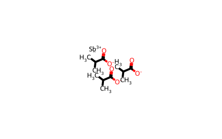 CC(C)C(=O)[O-].CC(C)C(=O)[O-].CC(C)C(=O)[O-].[Sb+3]